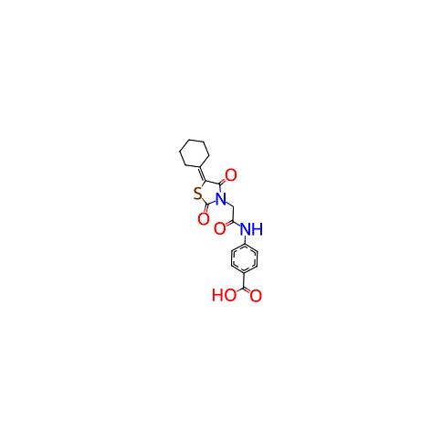 O=C(CN1C(=O)SC(=C2CCCCC2)C1=O)Nc1ccc(C(=O)O)cc1